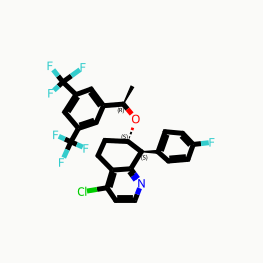 C[C@@H](O[C@H]1CCc2c(Cl)ccnc2[C@@H]1c1ccc(F)cc1)c1cc(C(F)(F)F)cc(C(F)(F)F)c1